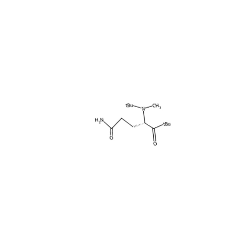 CN([C@@H](CCC(N)=O)C(=O)C(C)(C)C)C(C)(C)C